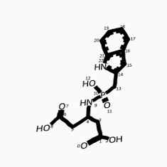 O=C(O)CC(CC(=O)O)NP(=O)(O)Cc1cc2ccccc2[nH]1